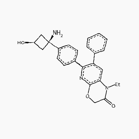 CCN1C(=O)COc2nc(-c3ccc([C@]4(N)C[C@@H](O)C4)cc3)c(-c3ccccc3)cc21